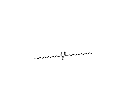 CCCCCCCCCCCCCNC(=O)NCCCCCCCCCCCCC